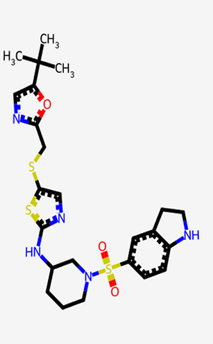 CC(C)(C)c1cnc(CSc2cnc(NC3CCCN(S(=O)(=O)c4ccc5c(c4)CCN5)C3)s2)o1